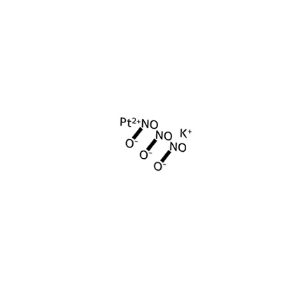 O=N[O-].O=N[O-].O=N[O-].[K+].[Pt+2]